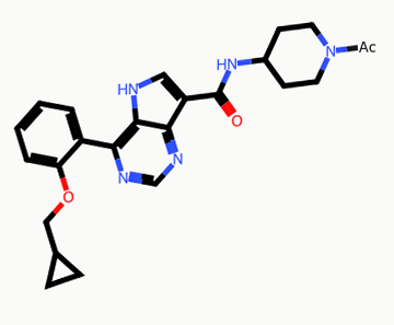 CC(=O)N1CCC(NC(=O)c2c[nH]c3c(-c4ccccc4OCC4CC4)ncnc23)CC1